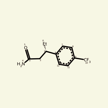 CC[C@@H](CC(N)=O)c1ccc(C(F)(F)F)cc1